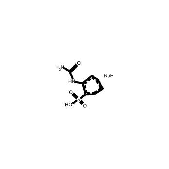 NC(=O)Nc1ccccc1S(=O)(=O)O.[NaH]